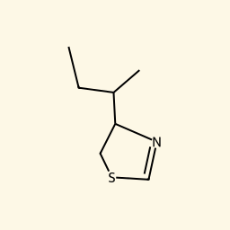 CCC(C)C1CSC=N1